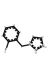 Fc1ccccc1Cn1ccnn1